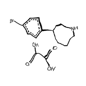 Brc1ccc([C@@H]2CCCNC2)cc1.O=C(O)C(=O)O